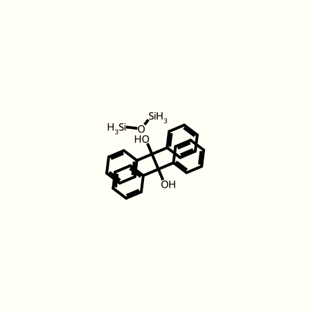 OC(c1ccccc1)(c1ccccc1)C(O)(c1ccccc1)c1ccccc1.[SiH3]O[SiH3]